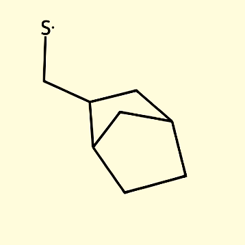 [S]CC1CC2CCC1C2